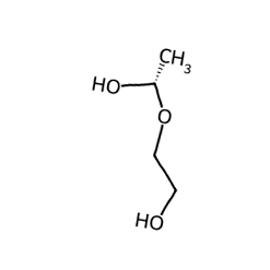 C[C@@H](O)OCCO